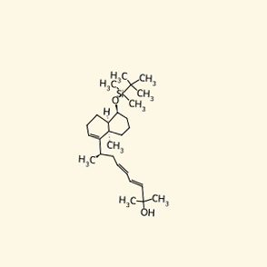 C[C@H](C/C=C/C=C/C(C)(C)O)C1=CCC[C@H]2[C@@H](O[Si](C)(C)C(C)(C)C)CCC[C@@]12C